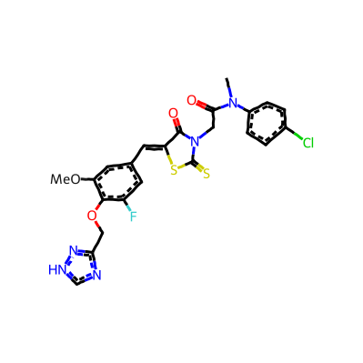 COc1cc(/C=C2\SC(=S)N(CC(=O)N(C)c3ccc(Cl)cc3)C2=O)cc(F)c1OCc1nc[nH]n1